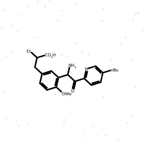 CCCCc1ccc(C(=O)C(N)c2cc(CC(CC)C(=O)O)ccc2OC)nc1